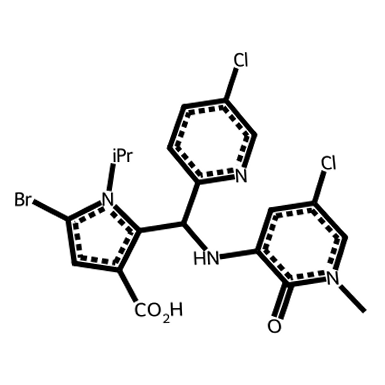 CC(C)n1c(Br)cc(C(=O)O)c1C(Nc1cc(Cl)cn(C)c1=O)c1ccc(Cl)cn1